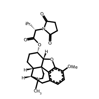 COc1ccc2c3c1O[C@H]1[C@@H](OC(=O)[C@H](C(C)C)N4C(=O)CCC4=O)CC[C@H]4[C@@H](C2)N(C)CC[C@@]341